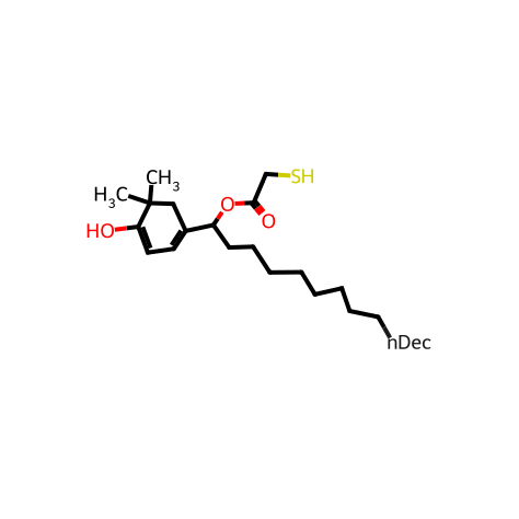 CCCCCCCCCCCCCCCCCCC(OC(=O)CS)C1=CC=C(O)C(C)(C)C1